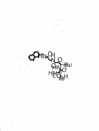 CC[C@H](C)C(NC(=O)[C@H](CC(C)C)NC(=O)O)C(=O)C(=O)NCC(=O)NCc1ccc2ccccc2c1